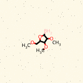 BC1OC(COC)C(OC)C1OC